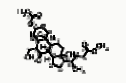 CC[C@@H]1C(=O)[C@@H]2[C@H](CCC3(C)[C@@H]([C@H](C)CCC(=O)OC)CC[C@@H]23)C2(C)CC[C@@H](OC(C)=O)CC12